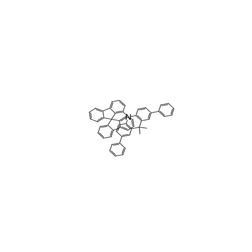 CC1(C)c2cc(-c3ccccc3)ccc2N(c2cccc3c2C2(c4ccccc4-c4ccccc42)c2ccccc2-3)c2ccc(-c3ccccc3)cc21